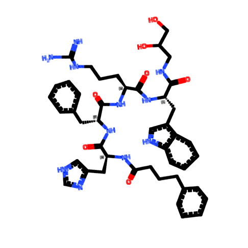 N=C(N)NCCC[C@H](NC(=O)[C@@H](Cc1ccccc1)NC(=O)[C@H](Cc1c[nH]cn1)NC(=O)CCCc1ccccc1)C(=O)N[C@@H](Cc1c[nH]c2ccccc12)C(=O)NCC(O)CO